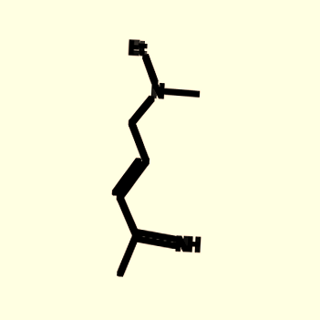 CCN(C)C/C=C/C(C)=N